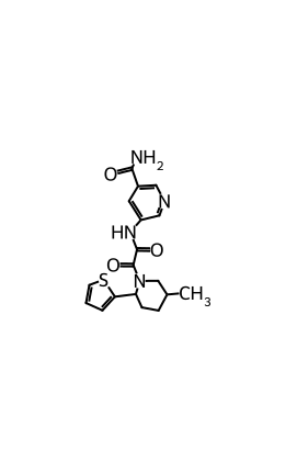 CC1CCC(c2cccs2)N(C(=O)C(=O)Nc2cncc(C(N)=O)c2)C1